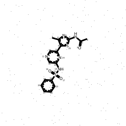 CC(=O)Nc1nc(C)c(-c2cncc(NS(=O)(=O)c3ccccc3)n2)s1